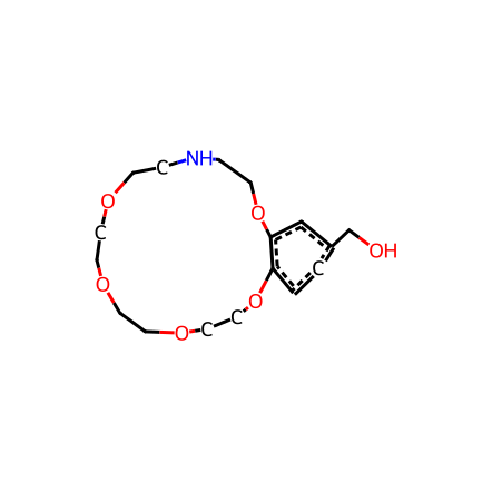 OCc1ccc2c(c1)OCCNCCOCCOCCOCCO2